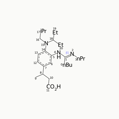 CCCC/C(=N\CCC)Nc1cc(C(C)CC(=O)O)ccc1N(CC(C)C)C(CC)CC